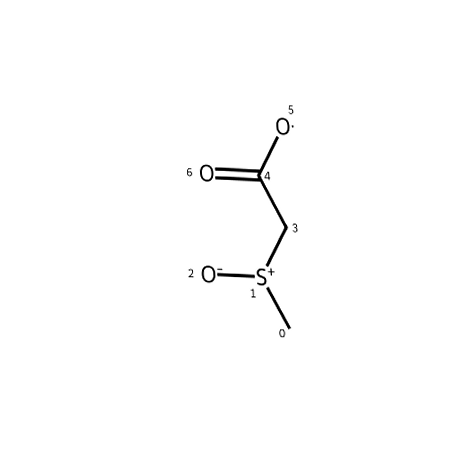 C[S+]([O-])CC([O])=O